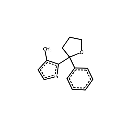 Cc1ccsc1C1(c2ccccc2)CCCO1